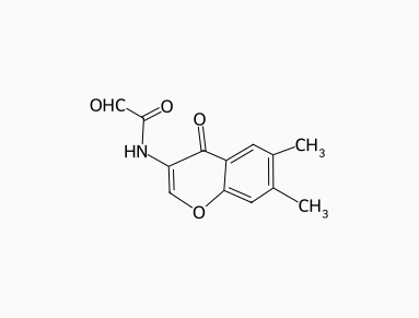 Cc1cc2occ(NC(=O)C=O)c(=O)c2cc1C